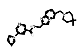 CC1(C)CCN(Cc2ccc3nc(CNC(=O)c4cncc(-n5cccc5)c4)cn3c2)CC1